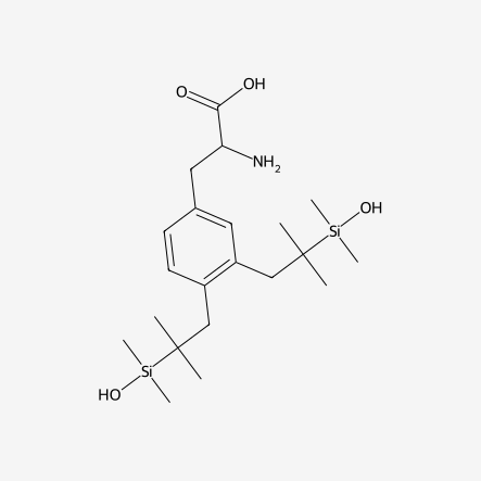 CC(C)(Cc1ccc(CC(N)C(=O)O)cc1CC(C)(C)[Si](C)(C)O)[Si](C)(C)O